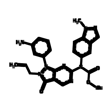 C=CCn1c(=O)c2cnc(N(C(=O)OC(C)(C)C)c3ccc4c(cnn4C)c3)nc2n1-c1cccc(N)c1